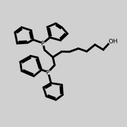 OCCCCCCC(CP(c1ccccc1)c1ccccc1)CP(c1ccccc1)c1ccccc1